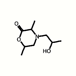 CC(O)CN1CC(C)OC(=O)C1C